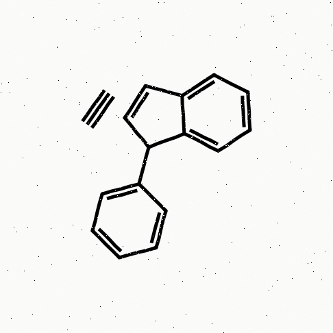 C#C.C1=CC(c2ccccc2)c2ccccc21